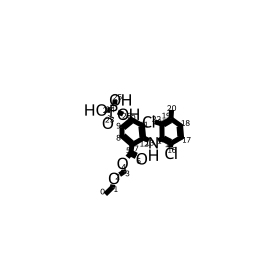 CCOCOC(=O)c1ccccc1Nc1c(Cl)ccc(C)c1Cl.O=P(O)(O)O